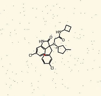 CC1CC[C@@H](N(CC(=O)NC2CCC2)C2(Cc3cccc(Cl)c3)C(=O)Nc3cc(Cl)ccc32)C1